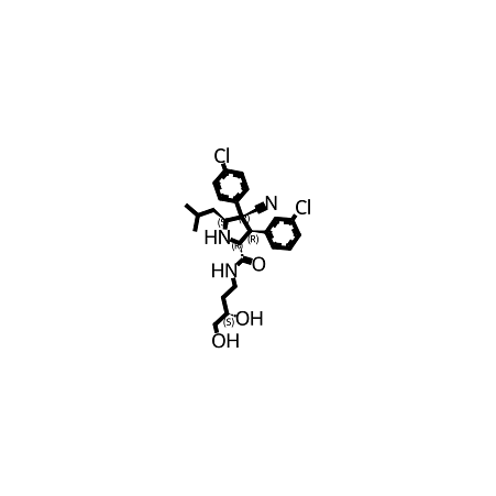 CC(C)C[C@@H]1N[C@@H](C(=O)NCC[C@H](O)CO)[C@H](c2cccc(Cl)c2)[C@@]1(C#N)c1ccc(Cl)cc1